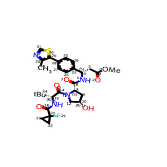 COC(=O)C[C@H](NC(=O)[C@@H]1C[C@@H](O)CN1C(=O)[C@H](NC(=O)C1(F)CC1)C(C)(C)C)c1ccc(-c2scnc2C)cc1